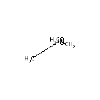 C=CCOC(=O)C(C)=CCCCCCCCCCCCCCCCCCC